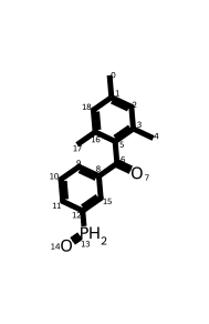 Cc1cc(C)c(C(=O)c2cccc([PH2]=O)c2)c(C)c1